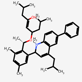 Cc1cc(C)c([C@H](C)OC(/C=C(\O)CC(C)C)CC(C)C)c(C2C=C(CC(C)C)c3cc(-c4ccccc4)ccc3N2C)c1